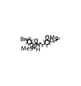 C#CCOc1ccc(CCNC(=O)C(=NSC)c2ccc(Br)cc2)cc1OC